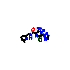 Cc1cccc(CNC(=O)c2nc(Cl)c(-n3nccn3)nc2N)n1